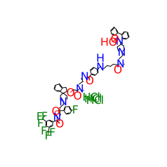 CN(CCN1CCC(N(C(=O)O)c2ccccc2-c2ccccc2)CC1)C(=O)CCCCNc1ccc(C(=O)N(C)CCCN(C)C(=O)CO[C@H]2Cc3ccccc3C23CCN(CC[C@@]2(c4ccc(F)cc4)CN(C(=O)c4cc(C(F)(F)F)cc(C(F)(F)F)c4)CO2)CC3)cc1.Cl.Cl.Cl